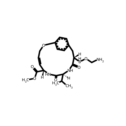 COC(=O)[C@@H]1C=CCOc2ccc(cc2)C[C@H](BOCN)C(=O)N[C@@H](C(C)C)C(=O)N1